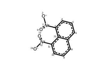 O=[N+]([O-])c1[c]ccc2cc[c]c([N+](=O)[O-])c12